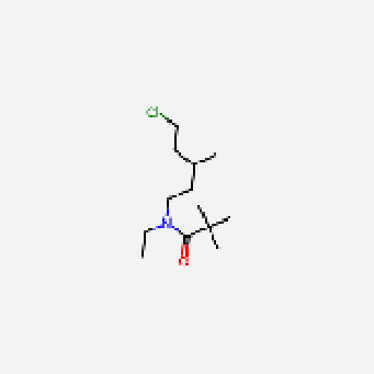 CCN(CCC(C)CCCl)C(=O)C(C)(C)C